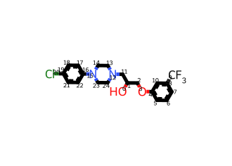 OC(COc1cccc(C(F)(F)F)c1)CN1CCN(c2ccc(Cl)cc2)CC1